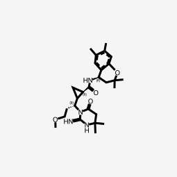 COCC[C@H](C1C[C@H]1C(=O)N[C@@H]1CC(C)(C)Oc2cc(C)c(C)cc21)N1C(=N)NC(C)(C)CC1=O